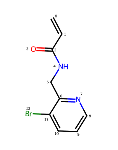 C=CC(=O)NCc1ncccc1Br